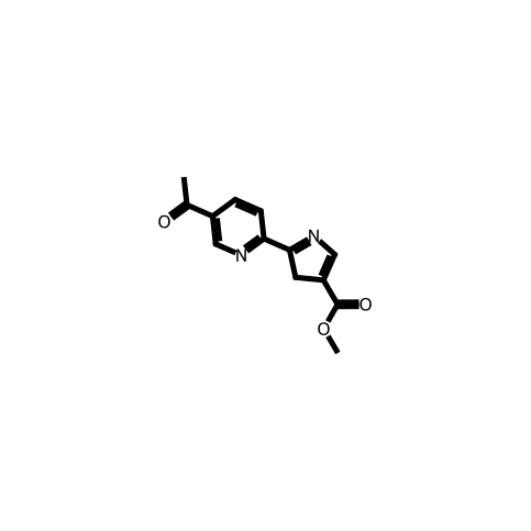 COC(=O)C1=CN=C(c2ccc(C(C)=O)cn2)C1